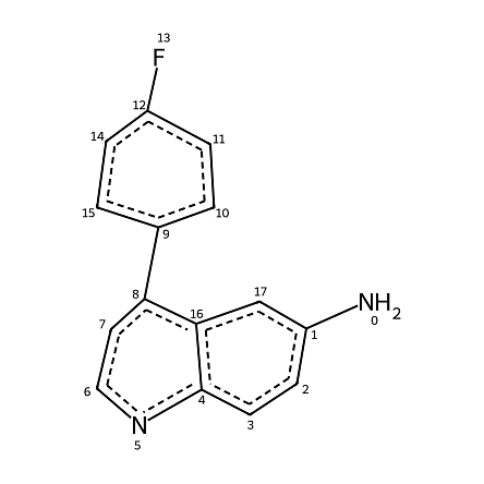 Nc1ccc2nccc(-c3ccc(F)cc3)c2c1